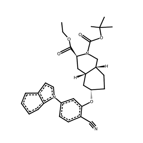 CCOC(=O)[C@@H]1C[C@H]2C[C@@H](Oc3cc(-n4ccc5ccccc54)ccc3C#N)CC[C@H]2CN1C(=O)OC(C)(C)C